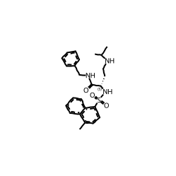 Cc1ccc(S(=O)(=O)N[C@@H](CCNC(C)C)C(=O)NCc2ccccc2)c2ccccc12